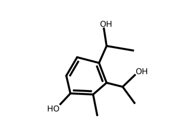 Cc1c(O)ccc(C(C)O)c1C(C)O